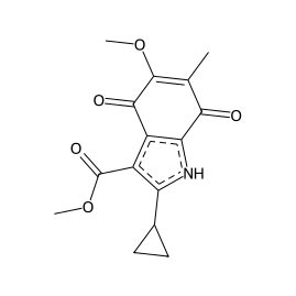 COC(=O)c1c(C2CC2)[nH]c2c1C(=O)C(OC)=C(C)C2=O